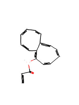 C=CC(=O)Oc1cccccc2ccccccc1-2